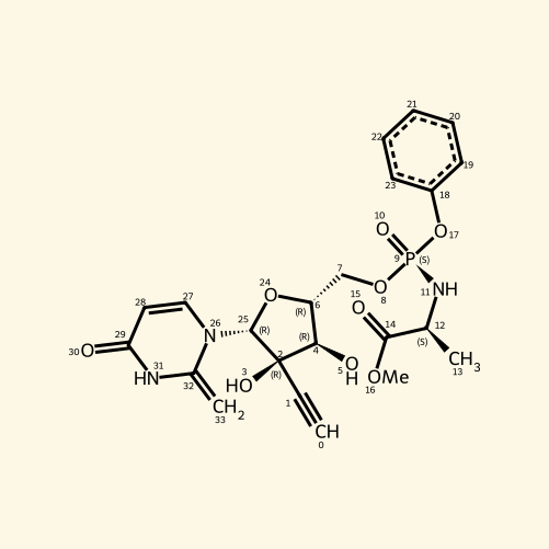 C#C[C@@]1(O)[C@H](O)[C@@H](CO[P@@](=O)(N[C@@H](C)C(=O)OC)Oc2ccccc2)O[C@H]1N1C=CC(=O)NC1=C